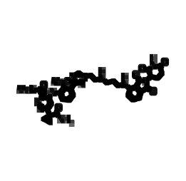 CNC(=O)c1nnc(C2(C(N)=O)CC2)cc1Nc1cccc(-c2ncn(CCNCCCNc3cccc4c3C(=O)N(C3CCC(=O)NC3=O)C4=O)n2)c1OC